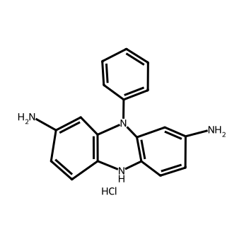 Cl.Nc1ccc2c(c1)N(c1ccccc1)c1cc(N)ccc1N2